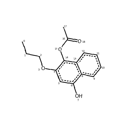 CCCOc1cc(O)c2ccccc2c1OC(C)=O